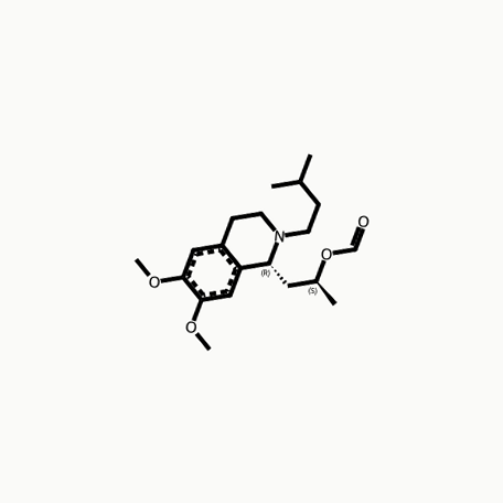 COc1cc2c(cc1OC)[C@@H](C[C@H](C)OC=O)N(CCC(C)C)CC2